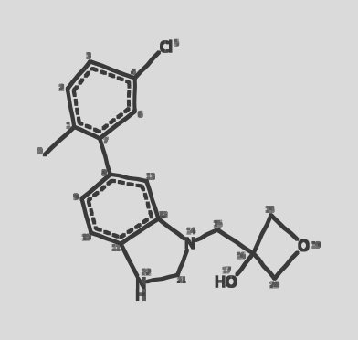 Cc1ccc(Cl)cc1-c1ccc2c(c1)N(CC1(O)COC1)CN2